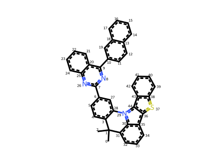 CC1(C)c2ccc(-c3nc(-c4ccc5ccccc5c4)c4ccccc4n3)cc2-n2c3c1cccc3c1sc3ccccc3c12